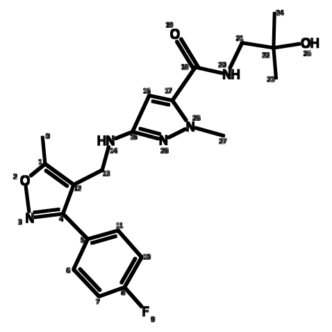 Cc1onc(-c2ccc(F)cc2)c1CNc1cc(C(=O)NCC(C)(C)O)n(C)n1